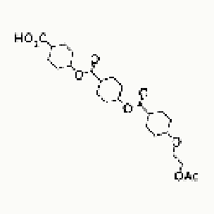 CC(=O)OCCOC1CCC(C(=O)OC2CCC(C(=O)OC3CCC(C(=O)O)CC3)CC2)CC1